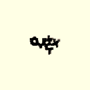 CN(C(=O)N(OC(F)F)[C@H](CC(F)(F)F)C(F)(F)F)c1ccncc1